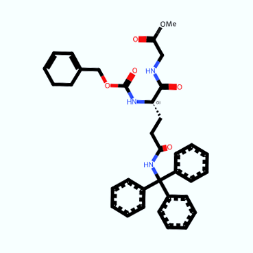 COC(=O)CNC(=O)[C@H](CCC(=O)NC(c1ccccc1)(c1ccccc1)c1ccccc1)NC(=O)OCC1=CC=CCC1